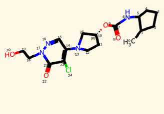 CC1CCCC1NC(=O)O[C@@H]1CCN(c2cnn(CCO)c(=O)c2Cl)C1